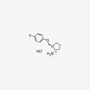 Cl.N[C@H]1CCC[C@@H]1COc1ccc(F)cc1